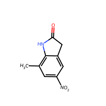 Cc1cc([N+](=O)[O-])cc2c1NC(=O)C2